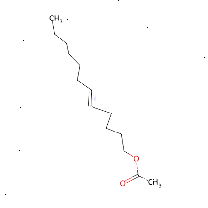 CCCCCC/C=C/CCCCOC(C)=O